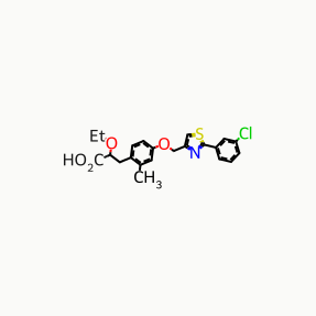 CCOC(Cc1ccc(OCc2csc(-c3cccc(Cl)c3)n2)cc1C)C(=O)O